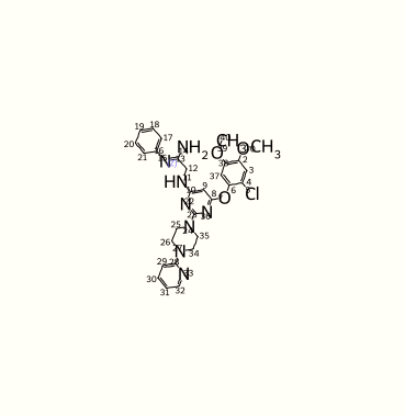 COc1cc(Cl)c(Oc2cc(NC/C(N)=N/c3ccccc3)nc(N3CCN(c4ccccn4)CC3)n2)cc1OC